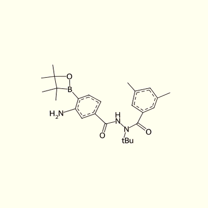 Cc1cc(C)cc(C(=O)N(NC(=O)c2ccc(B3OC(C)(C)C3(C)C)c(N)c2)C(C)(C)C)c1